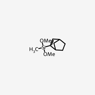 CO[Si](C)(OC)C1=CC2CCC1C2